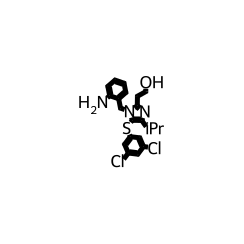 CC(C)c1nc(CCO)n(Cc2ccccc2N)c1Sc1cc(Cl)cc(Cl)c1